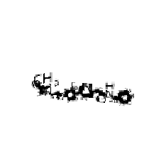 COC1CN(CCOc2ccc(-c3ccc(CC(=O)NCc4ccccc4)nc3)c(F)c2)C1